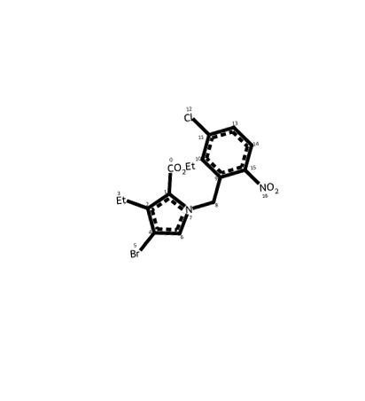 CCOC(=O)c1c(CC)c(Br)cn1Cc1cc(Cl)ccc1[N+](=O)[O-]